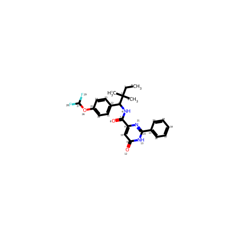 CCC(C)(C)C(NC(=O)c1cc(=O)[nH]c(-c2ccccc2)n1)c1ccc(OC(F)F)cc1